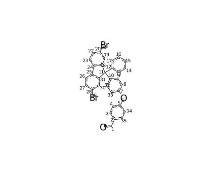 O=Cc1ccc(Oc2ccc(C3(c4ccccc4)c4cc(Br)ccc4-c4ccc(Br)cc43)cc2)cc1